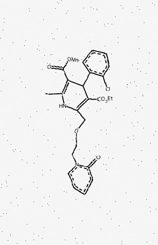 CCOC(=O)C1=C(COCCn2ccccc2=O)NC(C)=C(C(=O)OC)C1c1ccccc1Cl